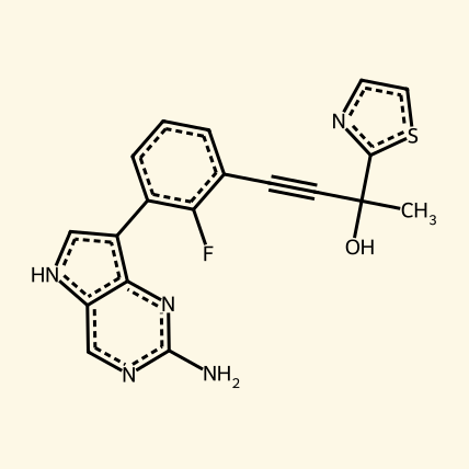 CC(O)(C#Cc1cccc(-c2c[nH]c3cnc(N)nc23)c1F)c1nccs1